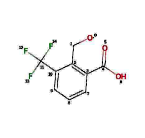 [O]Cc1c(C(=O)O)cccc1C(F)(F)F